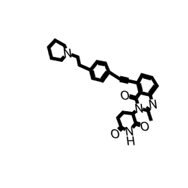 Cc1nc2cccc(C#Cc3ccc(CCN4CCCCC4)cc3)c2c(=O)n1C1CCC(=O)NC1=O